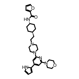 O=C(N[C@H]1CC[C@H](CCN2CCN(c3cc(-c4ccc[nH]4)cc(N4CCOCC4)n3)CC2)CC1)c1ccco1